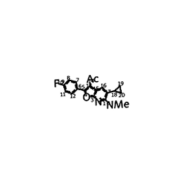 CNc1nc2oc(-c3ccc(F)cc3)c(C(C)=O)c2cc1C1CC1